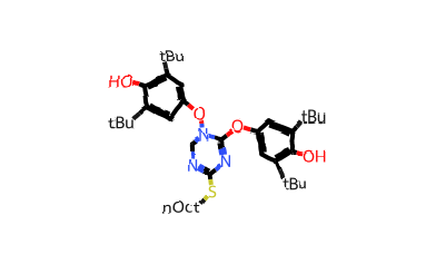 CCCCCCCCSC1=NCN(Oc2cc(C(C)(C)C)c(O)c(C(C)(C)C)c2)C(Oc2cc(C(C)(C)C)c(O)c(C(C)(C)C)c2)=N1